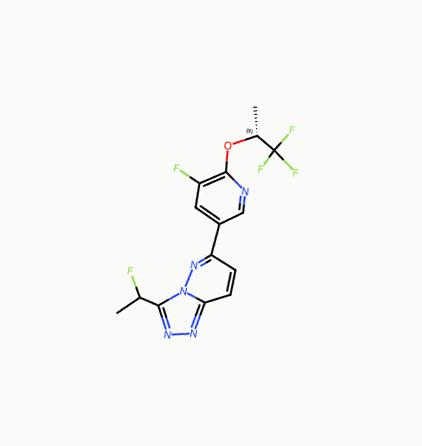 CC(F)c1nnc2ccc(-c3cnc(O[C@H](C)C(F)(F)F)c(F)c3)nn12